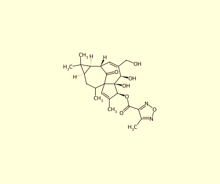 CC1=CC23C(=O)[C@@H](C=C(CO)[C@@H](O)[C@]2(O)[C@H]1OC(=O)c1nonc1C)[C@H]1[C@@H](CC3C)C1(C)C